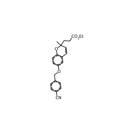 CCOC(=O)CCC1(C)C=Cc2cc(OCc3ccc(C#N)cc3)ccc2O1